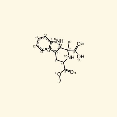 COC(=O)C1Cc2c([nH]c3ccccc23)C(C)(C(=O)O)N1